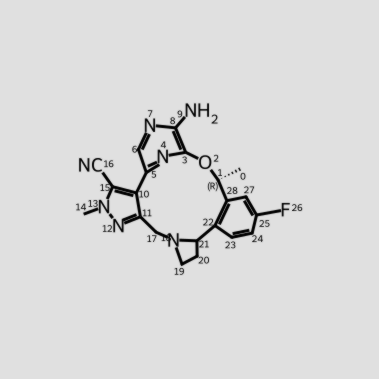 C[C@H]1Oc2nc(cnc2N)-c2c(nn(C)c2C#N)CN2CCC2c2ccc(F)cc21